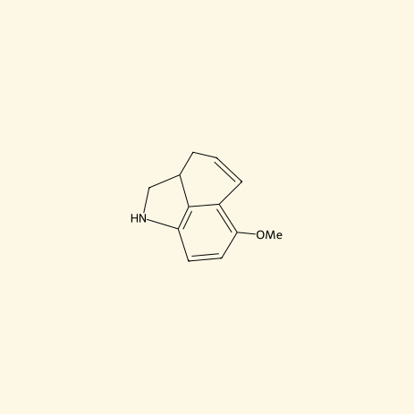 COc1ccc2c3c1C=CCC3CN2